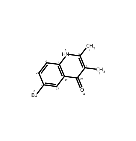 CCC(C)c1ccc2[nH]c(C)c(C)c(=O)c2c1